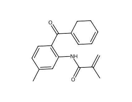 C=C(C)C(=O)Nc1cc(C)ccc1C(=O)C1=CC=CCC1